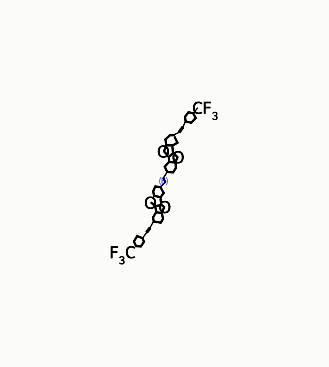 FC(F)(F)c1ccc(C#Cc2ccc3oc4c5cc(/C=C/c6ccc7oc8c9cc(C#Cc%10ccc(C(F)(F)F)cc%10)ccc9oc8c7c6)ccc5oc4c3c2)cc1